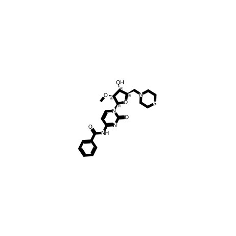 CO[C@@H]1[C@H](O)[C@@H](CN2CCSCC2)O[C@H]1n1ccc(NC(=O)c2ccccc2)nc1=O